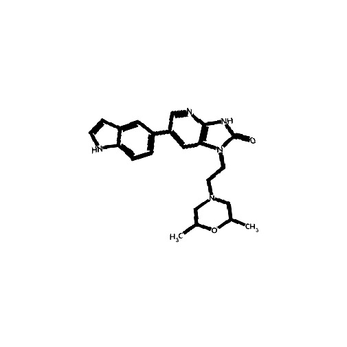 CC1CN(CCn2c(=O)[nH]c3ncc(-c4ccc5[nH]ccc5c4)cc32)CC(C)O1